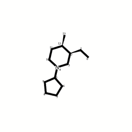 CC[C@H]1CN(C2CCCC2)CC[C@H]1C